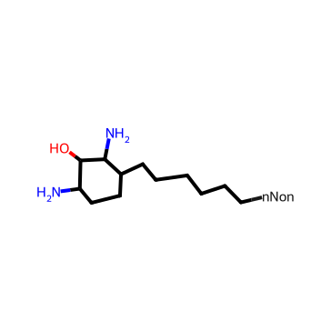 CCCCCCCCCCCCCCCC1CCC(N)C(O)C1N